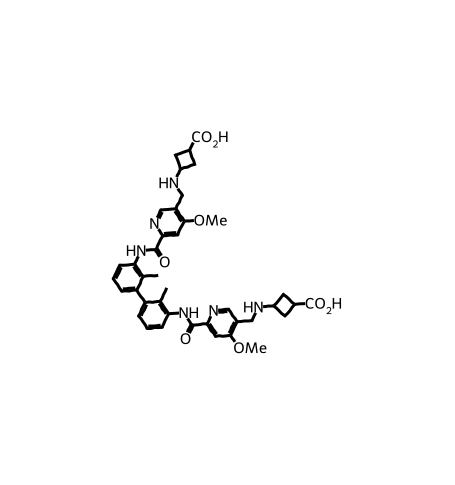 COc1cc(C(=O)Nc2cccc(-c3cccc(NC(=O)c4cc(OC)c(CNC5CC(C(=O)O)C5)cn4)c3C)c2C)ncc1CNC1CC(C(=O)O)C1